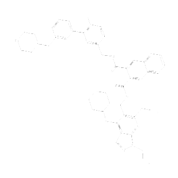 CCc1nc2c(cnn2CC)c(NC2CCOCC2)c1CNC(=O)c1cc2ccccc2cc1C(=O)NCc1ccc(F)c(-c2cccc(CN3CCNCC3)c2)c1